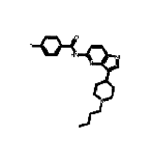 CCCCN1CCC(c2c[nH]c3ccc(NC(=O)c4ccc(F)cc4)nc23)CC1